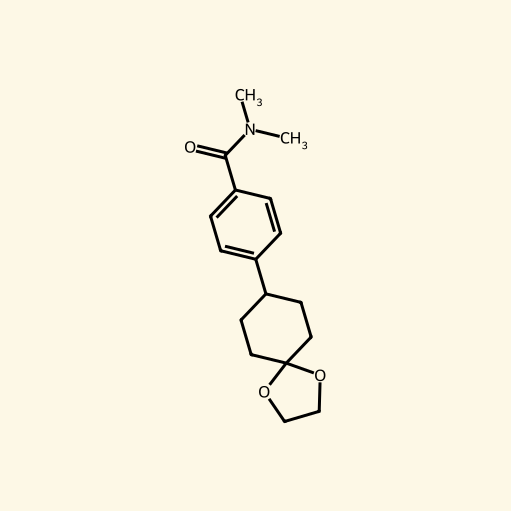 CN(C)C(=O)c1ccc(C2CCC3(CC2)OCCO3)cc1